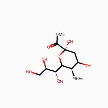 COC(=O)[C@@]1(O)CC(O)[C@@H](NC(C)=O)C([C@H](O)[C@H](O)CO)O1